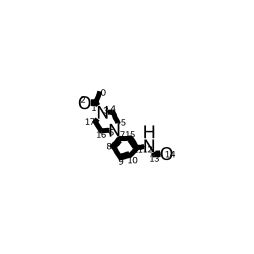 CC(=O)N1CCN(c2cccc(NC=O)c2)CC1